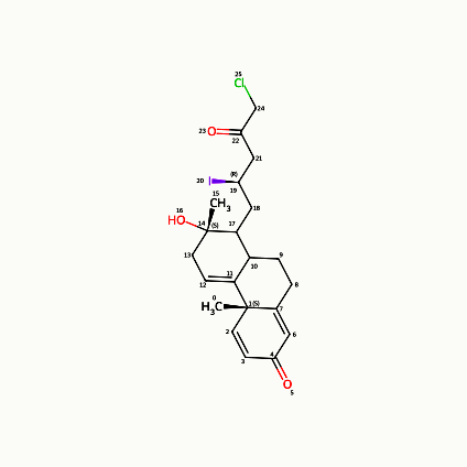 C[C@]12C=CC(=O)C=C1CCC1C2=CC[C@](C)(O)C1C[C@@H](I)CC(=O)CCl